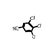 N#Cc1cc(Cl)c(Cl)c(Cl)c1